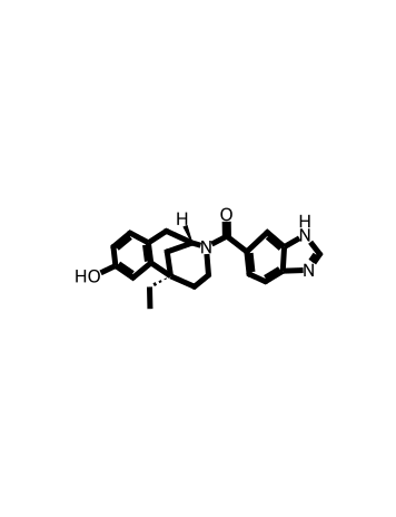 CC[C@]12CCN(C(=O)c3ccc4nc[nH]c4c3)[C@@H](Cc3ccc(O)cc31)C2